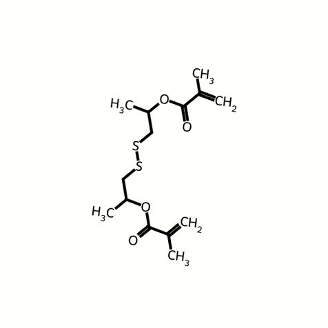 C=C(C)C(=O)OC(C)CSSCC(C)OC(=O)C(=C)C